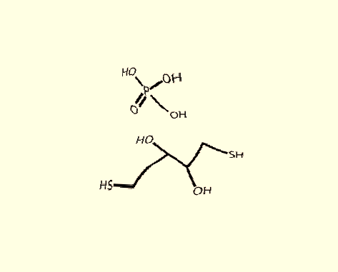 O=P(O)(O)O.OC(CS)C(O)CS